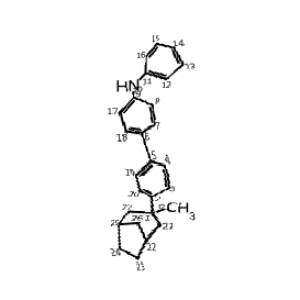 CC1(c2ccc(-c3ccc(Nc4ccccc4)cc3)cc2)CC2CCC(C2)C1